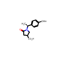 COc1ccc([C@H](C)N2CC(C(=O)O)CC2=O)cc1